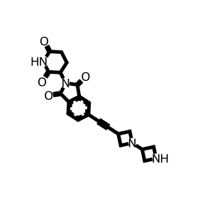 O=C1CCC(N2C(=O)c3ccc(C#CC4CN(C5CNC5)C4)cc3C2=O)C(=O)N1